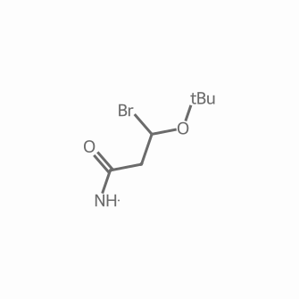 CC(C)(C)OC(Br)CC([NH])=O